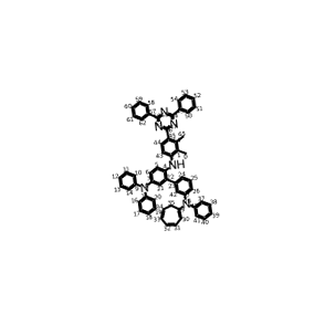 Cc1c(Nc2ccc(N(c3ccccc3)c3ccccc3)cc2-c2cccc(N(C3=CC=CC=CC3)c3ccccc3)c2)ccc(-c2nc(-c3ccccc3)nc(-c3ccccc3)n2)c1C